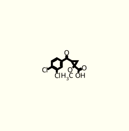 COC1(C(=O)O)CC1C(=O)c1ccc(Cl)c(Cl)c1